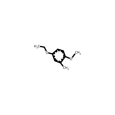 [CH2]c1cc(OCC)ccc1OC